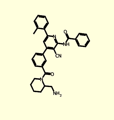 Cc1ccccc1-c1cc(-c2cccc(C(=O)N3CCCCC3CN)c2)c(C#N)c(NC(=O)c2ccccc2)n1